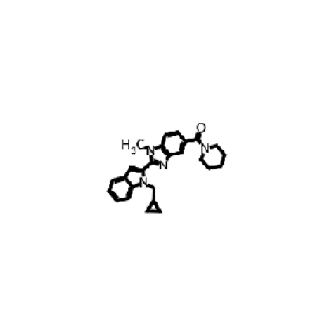 Cn1c(-c2cc3ccccc3n2CC2CC2)nc2cc(C(=O)N3CCCCC3)ccc21